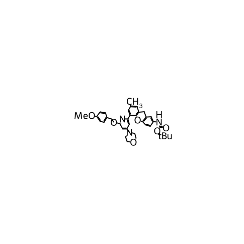 COc1ccc(COc2cc(N3CCOCC3)cc(-c3cc(C)cc4c3Oc3ccc(NC(=O)OC(C)(C)C)cc3C4)n2)cc1